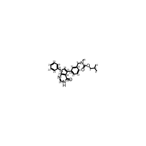 CC(C)COC(=O)N(C)Cc1cccc(-c2cn(-c3ccccc3)c3nc[nH]c(=O)c23)c1